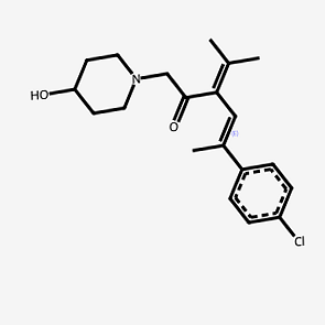 CC(C)=C(/C=C(\C)c1ccc(Cl)cc1)C(=O)CN1CCC(O)CC1